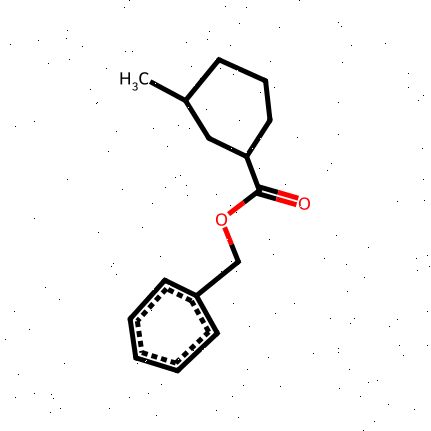 CC1CCCC(C(=O)OCc2ccccc2)C1